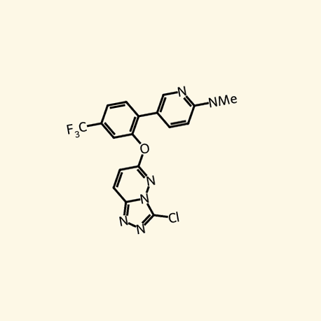 CNc1ccc(-c2ccc(C(F)(F)F)cc2Oc2ccc3nnc(Cl)n3n2)cn1